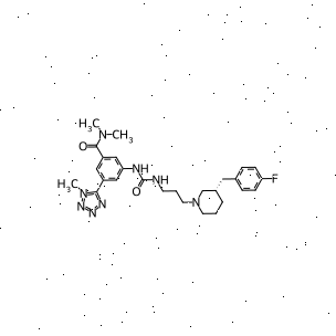 CN(C)C(=O)c1cc(NC(=O)NCCCN2CCC[C@@H](Cc3ccc(F)cc3)C2)cc(-c2nnnn2C)c1